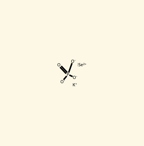 O=P([O-])([O-])[O-].[K+].[Se+2]